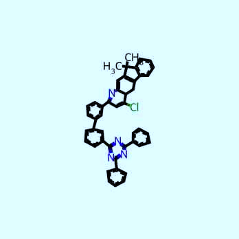 CC1(C)C2=C(CC3C(Cl)=CC(c4cccc(-c5cccc(-c6nc(-c7ccccc7)nc(-c7ccccc7)n6)c5)c4)=NC3=C2)c2ccccc21